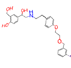 OCc1cc([C@@H](O)CNCCc2ccc(OCCOCc3cccc(I)c3)cc2)ccc1O